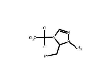 CC(C)CC1N(C)N=CN1C(Cl)(Cl)C(Cl)(Cl)Cl